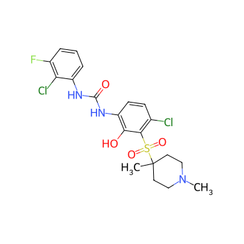 CN1CCC(C)(S(=O)(=O)c2c(Cl)ccc(NC(=O)Nc3cccc(F)c3Cl)c2O)CC1